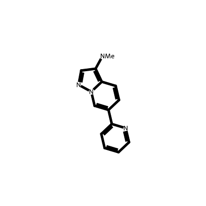 CNc1cnn2cc(-c3ccccn3)ccc12